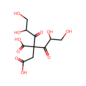 O=C(O)CC(C(=O)O)(C(=O)C(O)CO)C(=O)C(O)CO